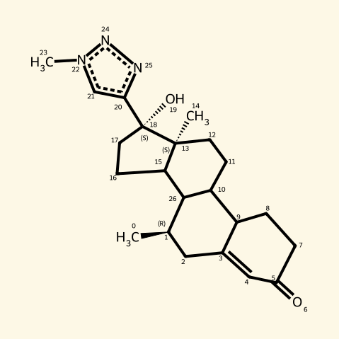 C[C@@H]1CC2=CC(=O)CCC2C2CC[C@@]3(C)C(CC[C@@]3(O)c3cn(C)nn3)C21